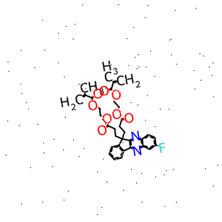 C=C(C)C(=O)OCCOC(=O)CCC1(CCC(=O)OCCOC(=O)C(=C)C)c2ccccc2-c2nc3cc(F)ccc3nc21